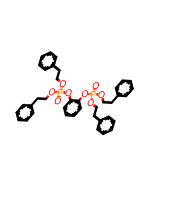 O=P(OCCc1ccccc1)(OCCc1ccccc1)Oc1ccccc1OP(=O)(OCCc1ccccc1)OCCc1ccccc1